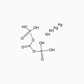 O=C(OP(=O)(O)O)OP(=O)(O)O.[Ag].[Ag].[KH].[KH]